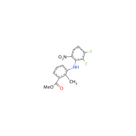 COC(=O)c1cccc(Nc2c([N+](=O)[O-])ccc(F)c2F)c1C